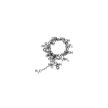 CCCCCCCCCC(=O)NC(Cc1c[nH]c2ccccc12)C(=O)N[C@H](CC(N)=O)C(=O)NC(CC(=O)O)C(=O)NC1C(=O)NCC(=O)NC(CCCN)C(=O)NC(CC(=O)O)C(=O)NC(C)C(=O)NC(C(=O)O)CC(=O)NCC(=O)NC(CO)C(=O)NC(C(C)CC(=O)O)C(=O)NC(CC(=O)c2ccccc2N)C(=O)OC1C